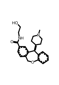 CN1CCC(=C2c3cc(C(=O)NCCO)ccc3COc3ccccc32)CC1